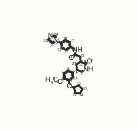 COc1ccc([C@H]2CNC(=O)C(CC(=O)Nc3ccc(-n4ccnc4)cc3)C2)cc1OC1CCCC1